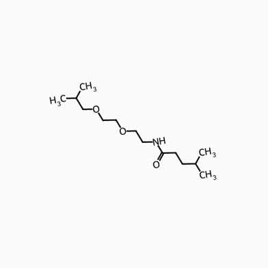 CC(C)CCC(=O)NCCOCCOCC(C)C